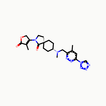 CC1=C(N2CC[C@]3(CC[C@@H](N(C)Cc4nnc(-n5cnnn5)cc4C)CC3)C2=O)COC1=O